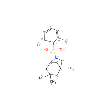 CC1(C)CC2CC(C)(CN2S(=O)(=O)C2C(Cl)=CC=CC2Cl)C1